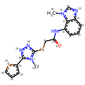 CCn1c(SCC(=O)Nc2cccc3ncn(C)c23)nnc1-c1cccs1